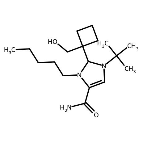 CCCCCN1C(C(N)=O)=CN(C(C)(C)C)C1C1(CO)CCC1